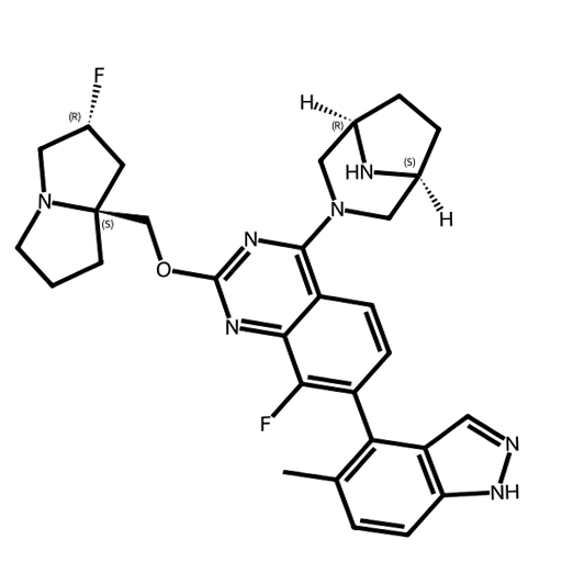 Cc1ccc2[nH]ncc2c1-c1ccc2c(N3C[C@H]4CC[C@@H](C3)N4)nc(OC[C@@]34CCCN3C[C@H](F)C4)nc2c1F